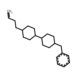 C=CCCC1CCC(C2CCC(Cc3ccccc3)CC2)CC1